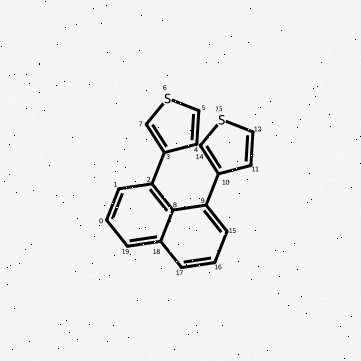 c1cc(-c2ccsc2)c2c(-c3ccsc3)cccc2c1